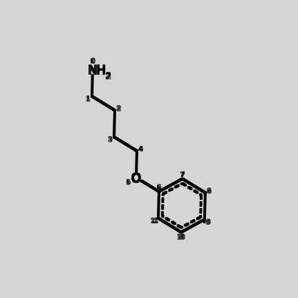 NCCCCOc1cc[c]cc1